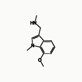 CNCc1cn(C)c2c(OC)cccc12